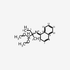 CCC(C)(N=C1CC=Cc2ccccc21)[SiH](OC)OC